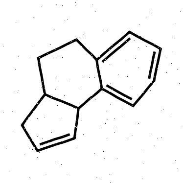 C1=CC2c3ccccc3CCC2C1